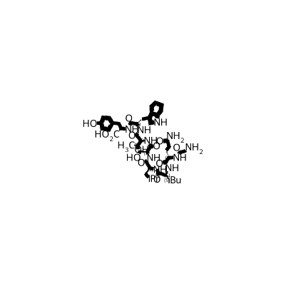 CC[C@H](C)[C@H](NC(=O)[C@H](CCC(N)=O)NC(=O)CN)C(=O)N[C@@H](CC(C)C)C(=O)N[C@@H](CO)C(=O)N[C@H](C(=O)N[C@@H](Cc1c[nH]c2ccccc12)C(=O)N[C@@H](Cc1ccc(O)cc1)C(=O)O)[C@@H](C)O